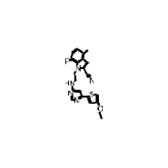 CCOc1csc(-c2cc(NCCn3c(C#N)cc4c(C)ccc(F)c43)ncn2)c1